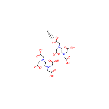 O=C([O-])CN(CCN(CC(=O)O)CC(=O)O)CC(=O)[O-].O=C([O-])CN(CCN(CC(=O)O)CC(=O)O)CC(=O)[O-].[K+].[K+].[K+].[K+]